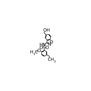 CCc1ccc(OC)c(S(=O)(=O)Nc2noc3ccc(CO)cc23)c1